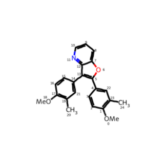 COc1ccc(-c2oc3cccnc3c2-c2ccc(OC)c(C)c2)cc1C